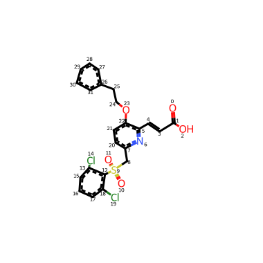 O=C(O)C=Cc1nc(CS(=O)(=O)c2c(Cl)cccc2Cl)ccc1OCCc1ccccc1